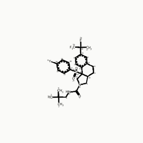 CC(C)(O)CNC(=O)N1CC2CCc3cc(C(C)(F)C(F)(F)F)ccc3C2(S(=O)(=O)c2ccc(F)cc2)C1